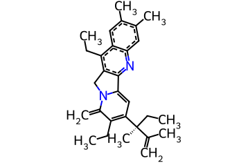 C=C1C(CC)=C([C@@](C)(CC)C(=C)C)C=C2c3nc4cc(C)c(C)cc4c(CC)c3CN12